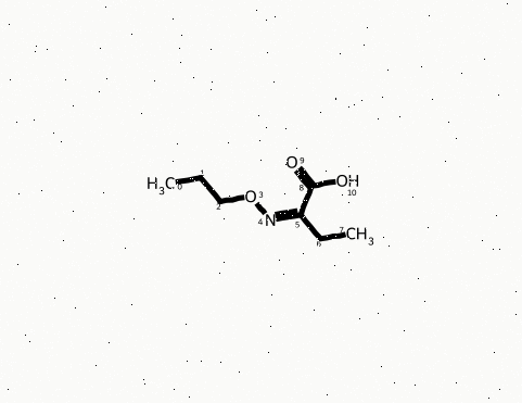 CCCON=C(CC)C(=O)O